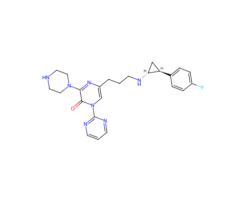 O=c1c(N2CCNCC2)nc(CCCN[C@@H]2C[C@H]2c2ccc(F)cc2)cn1-c1ncccn1